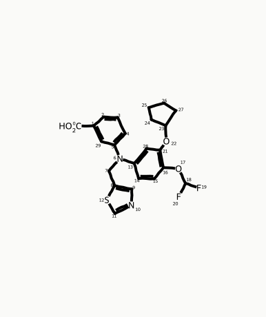 O=C(O)c1cccc(N(Cc2cncs2)c2ccc(OC(F)F)c(OC3CCCC3)c2)c1